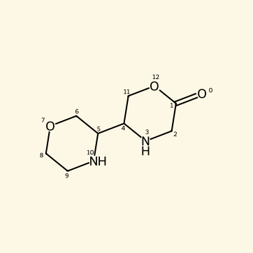 O=C1CNC(C2COCCN2)CO1